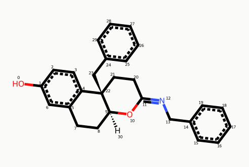 Oc1ccc2c(c1)CC[C@@H]1OC(=NCc3ccccc3)CC[C@@]21Cc1ccccc1